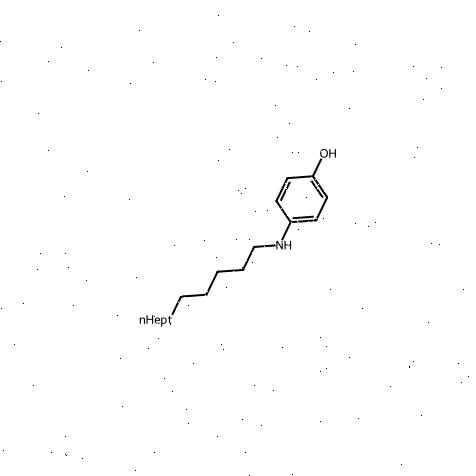 CCCCCCCCCCCCNc1ccc(O)cc1